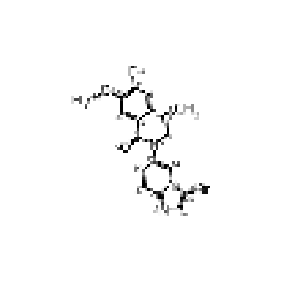 COCN(C(=O)c1ccc(F)c(OC)c1)c1ccc2ncc(Br)n2c1